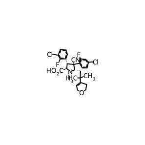 CC(C)(C[C@@H]1N[C@@H](C(=O)O)[C@H](c2cccc(Cl)c2F)[C@@]1(C#N)c1ccc(Cl)cc1F)C1=CCOCC1